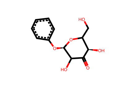 O=C1C(O)[C@@H](Oc2ccccc2)OC(CO)[C@H]1O